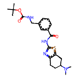 CN(C)C1CCc2nc(NC(=O)c3cccc(CNC(=O)OC(C)(C)C)c3)sc2C1